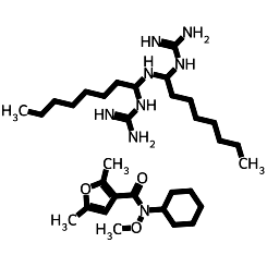 CCCCCCCC(NC(=N)N)NC(CCCCCCC)NC(=N)N.CON(C(=O)c1cc(C)oc1C)C1CCCCC1